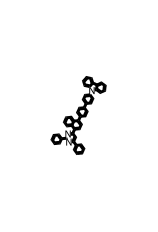 c1ccc(-c2cc(-c3ccc(-c4ccc(-c5ccc(-n6c7ccccc7c7ccccc76)cc5)cc4)c4ccccc34)nc(-c3ccccc3)n2)cc1